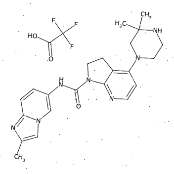 Cc1cn2cc(NC(=O)N3CCc4c(N5CCNC(C)(C)C5)ccnc43)ccc2n1.O=C(O)C(F)(F)F